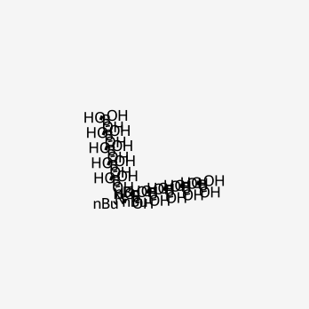 CCCCN(CCCC)CCCC.OB(O)O.OB(O)O.OB(O)O.OB(O)O.OB(O)O.OB(O)O.OB(O)O.OB(O)O.OB(O)O.OB(O)O